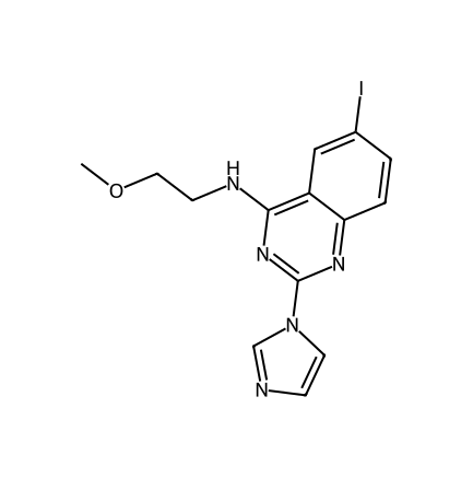 COCCNc1nc(-n2ccnc2)nc2ccc(I)cc12